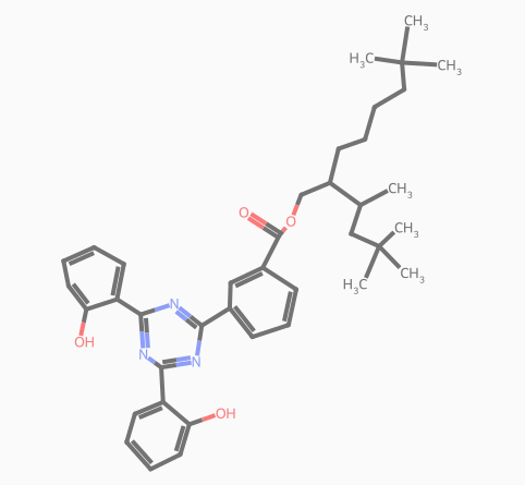 CC(CC(C)(C)C)C(CCCCC(C)(C)C)COC(=O)c1cccc(-c2nc(-c3ccccc3O)nc(-c3ccccc3O)n2)c1